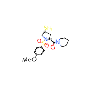 COc1ccc(S(=O)(=O)N2C[C@@H](S)C[C@H]2C(=O)N2CCCCC2)cc1